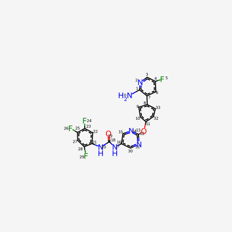 Nc1ncc(F)cc1-c1ccc(Oc2ncc(NC(=O)Nc3cc(F)c(F)cc3F)cn2)cc1